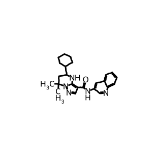 CC1(C)CC(C2CCCCC2)Nc2c(C(=O)Nc3cnc4ccccc4c3)cnn21